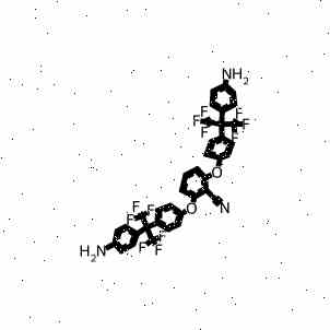 N#Cc1c(Oc2ccc(C(c3ccc(N)cc3)(C(F)(F)F)C(F)(F)F)cc2)cccc1Oc1ccc(C(c2ccc(N)cc2)(C(F)(F)F)C(F)(F)F)cc1